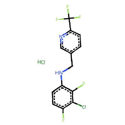 Cl.Fc1ccc(NCc2ccc(C(F)(F)F)nc2)c(F)c1Cl